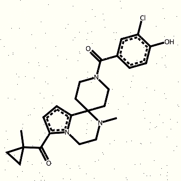 CN1CCn2c(C(=O)C3(C)CC3)ccc2C12CCN(C(=O)c1ccc(O)c(Cl)c1)CC2